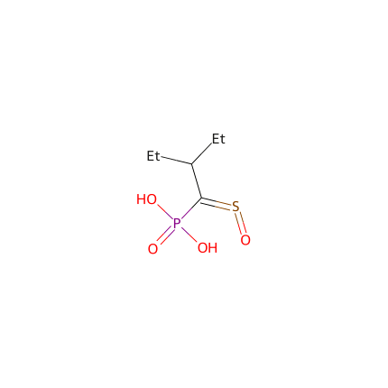 CCC(CC)C(=S=O)P(=O)(O)O